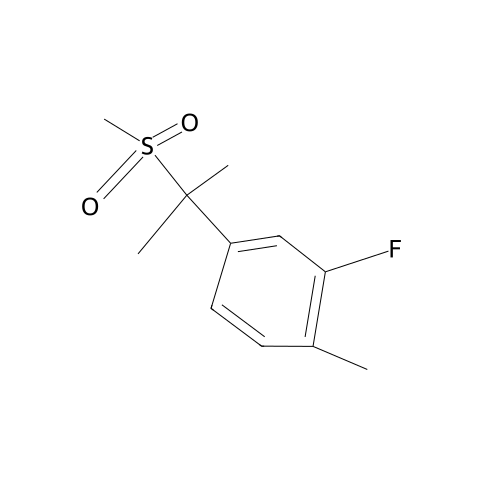 Cc1ccc(C(C)(C)S(C)(=O)=O)cc1F